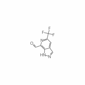 O=Cc1nc(C(F)(F)F)cc2cn[nH]c12